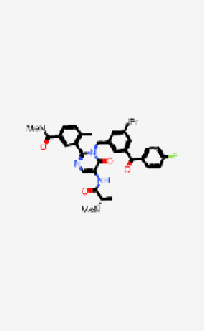 CNC(=O)c1ccc(C)c(-c2ncc(NC(=O)[C@H](C)NC)c(=O)n2Cc2cc(C(=O)c3ccc(F)cc3)cc(C(C)C)c2)c1